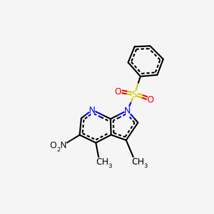 Cc1cn(S(=O)(=O)c2ccccc2)c2ncc([N+](=O)[O-])c(C)c12